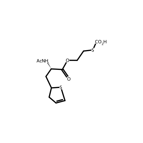 CC(=O)N[C@@H](CC1CC=CS1)C(=O)OCCSC(=O)O